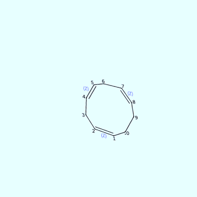 [CH]1/C=C\C/C=C\C/C=C\C1